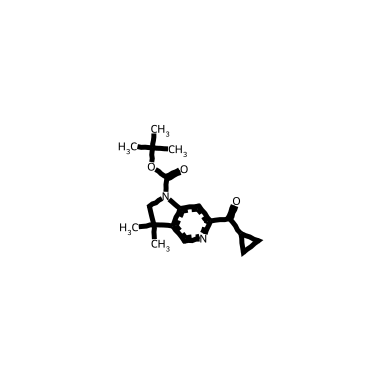 CC(C)(C)OC(=O)N1CC(C)(C)c2cnc(C(=O)C3CC3)cc21